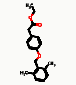 CCOC(=O)Cc1ccc(OCc2c(C)cccc2C)cc1